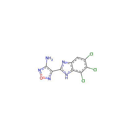 Nc1nonc1-c1nc2cc(Cl)c(Cl)c(Cl)c2[nH]1